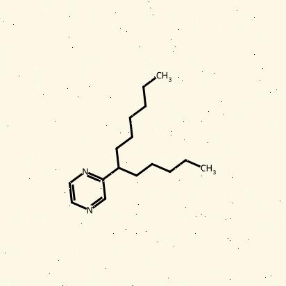 CCCCCCC(CCCCC)c1cnccn1